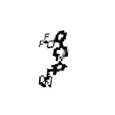 FC(F)Oc1ccccc1C1CCN([C@H]2CCC3(C2)CN(c2ncco2)C3)CC1